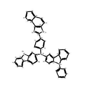 c1ccc(-n2c3ccccc3c3cc(N(c4ccc(-c5nc6c(ccc7ccccc76)o5)cc4)c4ccc5c(c4)sc4ccccc45)ccc32)cc1